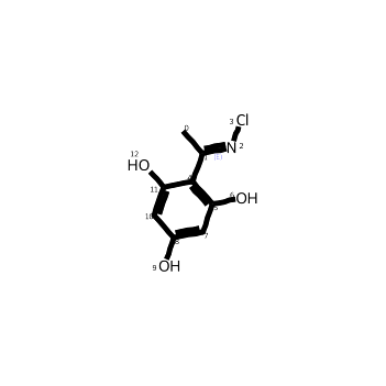 C/C(=N\Cl)c1c(O)cc(O)cc1O